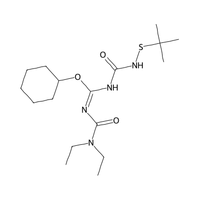 CCN(CC)C(=O)N=C(NC(=O)NSC(C)(C)C)OC1CCCCC1